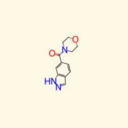 O=C(c1ccc2cn[nH]c2c1)N1CCOCC1